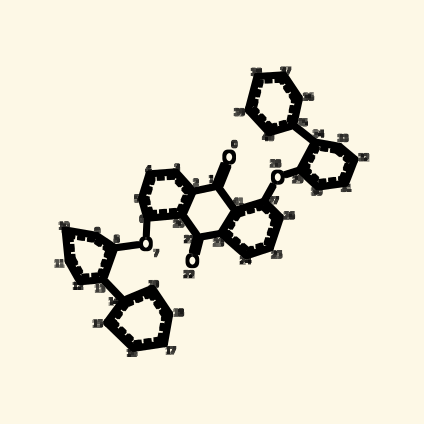 O=C1c2cccc(Oc3ccccc3-c3ccccc3)c2C(=O)c2cccc(Oc3ccccc3-c3ccccc3)c21